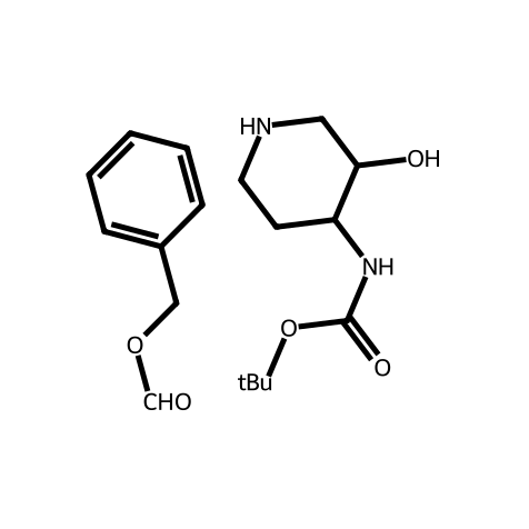 CC(C)(C)OC(=O)NC1CCNCC1O.O=COCc1ccccc1